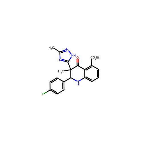 CCOC(=O)c1cccc2c1C(=O)C(C)(c1nc(C)n[nH]1)C(c1ccc(F)cc1)N2